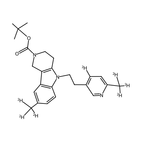 [2H]c1cc(C([2H])([2H])[2H])ncc1CCn1c2c(c3cc(C([2H])([2H])[2H])ccc31)CN(C(=O)OC(C)(C)C)CC2